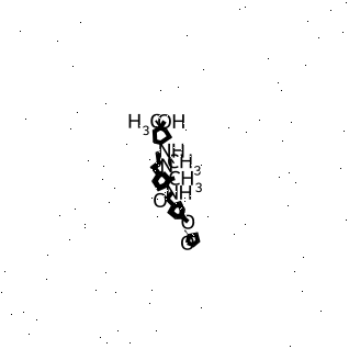 Cc1c(NC(=O)c2ccc(OC[C@@H]3CCCO3)cc2)ccc2cc(CN[C@H]3CC[C@@](C)(O)CC3)n(C)c12